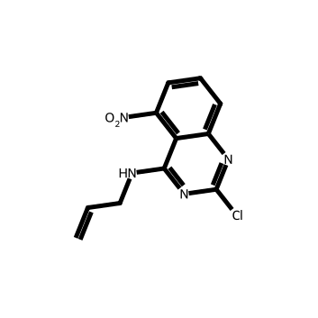 C=CCNc1nc(Cl)nc2cccc([N+](=O)[O-])c12